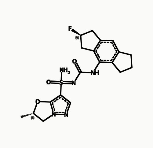 C[C@H]1Cn2ncc(S(N)(=O)=NC(=O)Nc3c4c(cc5c3C[C@@H](F)C5)CCC4)c2O1